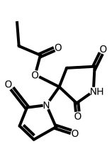 CCC(=O)OC1(N2C(=O)C=CC2=O)CC(=O)NC1=O